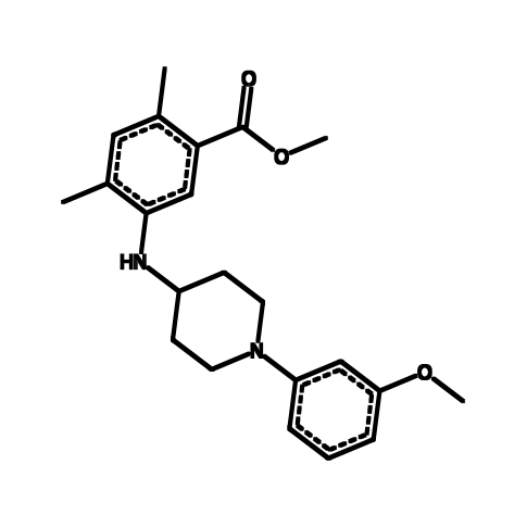 COC(=O)c1cc(NC2CCN(c3cccc(OC)c3)CC2)c(C)cc1C